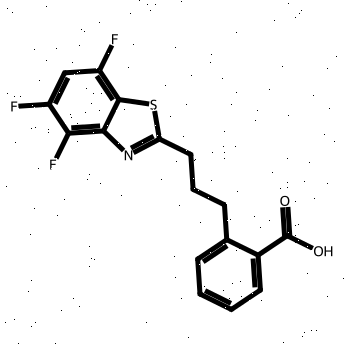 O=C(O)c1ccccc1CCCc1nc2c(F)c(F)cc(F)c2s1